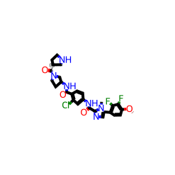 COc1ccc(-c2cnc(C(=O)Nc3ccc(C(=O)NC4CCN(C(=O)[C@@H]5CCNC5)C4)c(Cl)c3)n2C)c(F)c1F